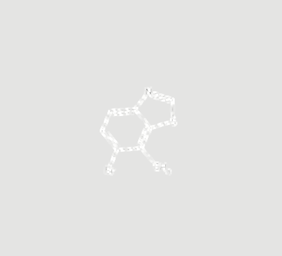 Cc1c(Br)ccc2ncsc12